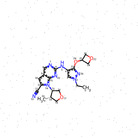 CCn1cc(Nc2ncc3cc(C#N)n([C@H]4COC[C@@H]4C)c3n2)c(OC2COC2)n1